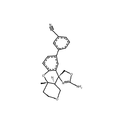 C[C@]12CCOC[C@@H]1[C@]1(COC(N)=N1)c1cc(-c3cccc(C#N)c3)ccc1O2